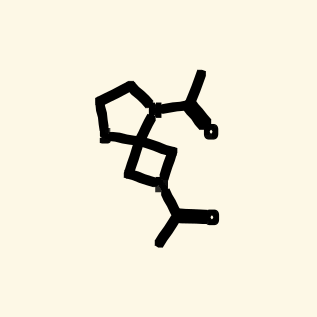 CC(=O)N1CC2(C1)SCCN2C(C)=O